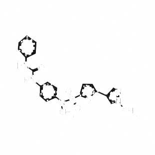 CN(c1ccc(NC(=O)Nc2ccccc2)cc1)S(=O)(=O)c1ccc(-c2cnn(C)c2)s1